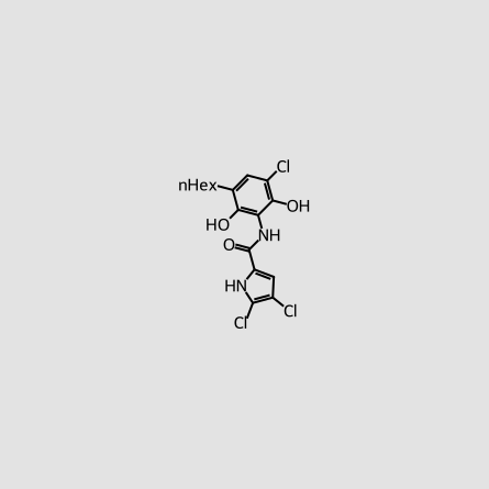 CCCCCCc1cc(Cl)c(O)c(NC(=O)c2cc(Cl)c(Cl)[nH]2)c1O